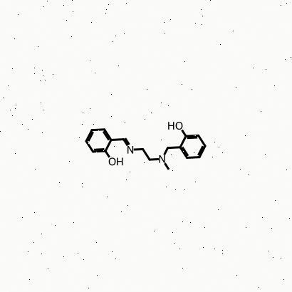 CN(CCN=Cc1ccccc1O)Cc1ccccc1O